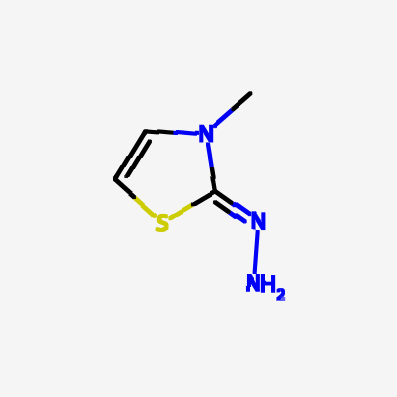 Cn1ccsc1=NN